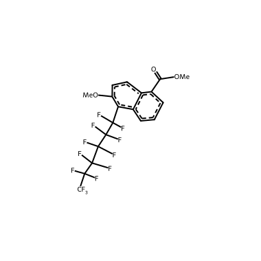 COC(=O)c1cccc2c(C(F)(F)C(F)(F)C(F)(F)C(F)(F)C(F)(F)C(F)(F)F)c(OC)ccc12